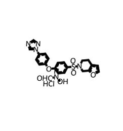 Cl.O=CNO.O=S(=O)(c1ccc(Oc2ccc(-n3cncn3)cc2)cc1)N1CCc2ccoc2C1